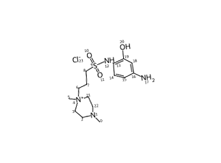 CN1CC[N+](C)(CCCS(=O)(=O)Nc2ccc(N)cc2O)CC1.[Cl-]